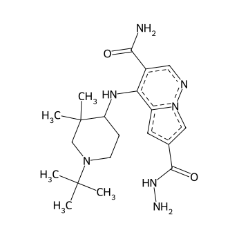 CC1(C)CN(C(C)(C)C)CCC1Nc1c(C(N)=O)cnn2cc(C(=O)NN)cc12